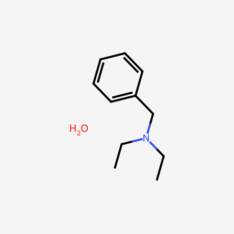 CCN(CC)Cc1ccccc1.O